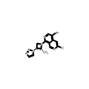 CC(C)c1cnc(N2C[C@H](n3ccnn3)[C@H]2C)c2cnc(Cl)cc12